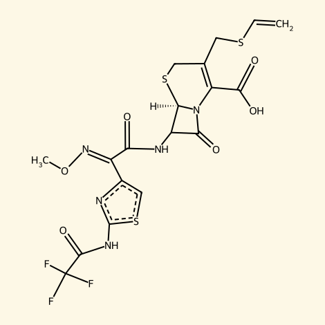 C=CSCC1=C(C(=O)O)N2C(=O)C(NC(=O)/C(=N/OC)c3csc(NC(=O)C(F)(F)F)n3)[C@H]2SC1